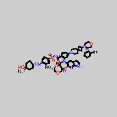 CC(C)c1ccccc1[C@@H]1COCCN1C1CC2(CCN(c3ccc(C(=O)NS(=O)(=O)c4ccc(NC[C@H]5CC[C@](C)(O)CC5)c([N+](=O)[O-])c4)c(N4C[C@H]5OCCOC[C@@H]5Oc5nc6[nH]ccc6cc54)c3)CC2)C1